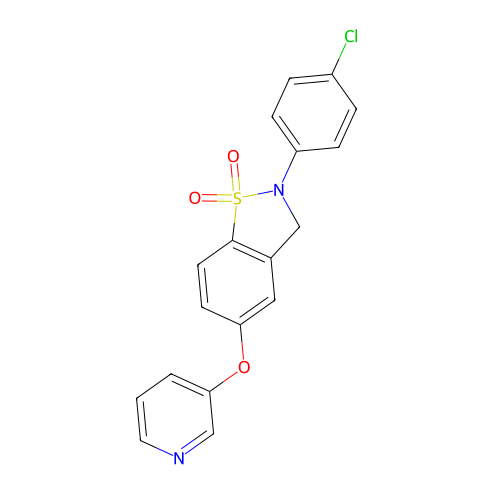 O=S1(=O)c2ccc(Oc3cccnc3)cc2CN1c1ccc(Cl)cc1